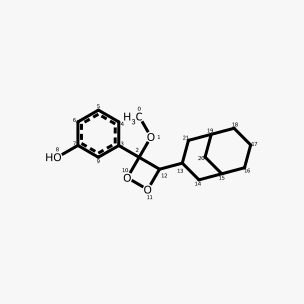 COC1(c2cccc(O)c2)OOC1C1CC2CCCC(C2)C1